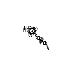 C=C(CO)C(=O)OCC(CCC1CCC(C(F)(F)C(F)(F)c2ccc(CC/C=C/C)cc2)CC1)COC(=O)C(=C)CO